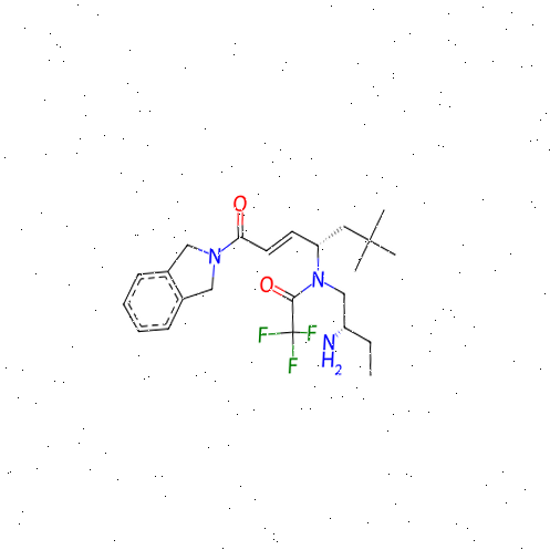 CC[C@H](N)CN(C(=O)C(F)(F)F)[C@H](/C=C/C(=O)N1Cc2ccccc2C1)CC(C)(C)C